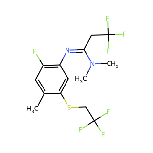 Cc1cc(F)c(/N=C(/CC(F)(F)F)N(C)C)cc1SCC(F)(F)F